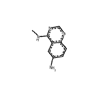 CNc1ncnc2ccc(N)cc12